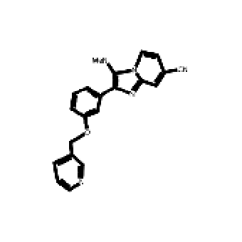 CNc1c(-c2cccc(OCc3cccnc3)c2)nc2cc(C#N)ccn12